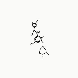 Cc1ncc(C(=O)Nc2cc(Cl)cc(CN3CCNC(C)C3)c2C)s1